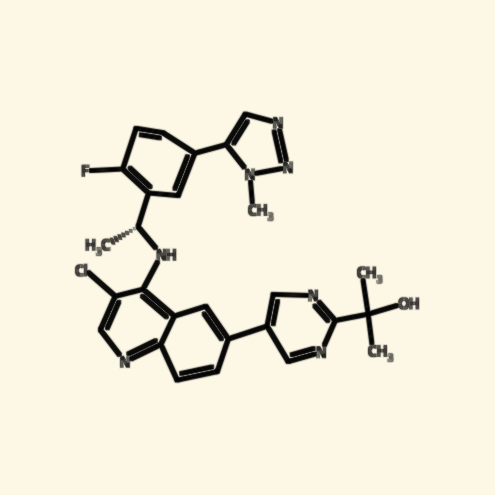 C[C@@H](Nc1c(Cl)cnc2ccc(-c3cnc(C(C)(C)O)nc3)cc12)c1cc(-c2cnnn2C)ccc1F